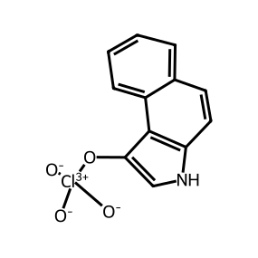 [O-][Cl+3]([O-])([O-])Oc1c[nH]c2ccc3ccccc3c12